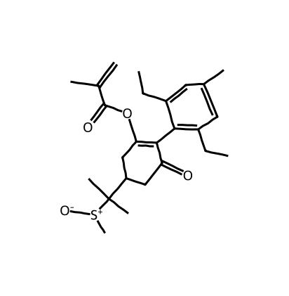 C=C(C)C(=O)OC1=C(c2c(CC)cc(C)cc2CC)C(=O)CC(C(C)(C)[S+](C)[O-])C1